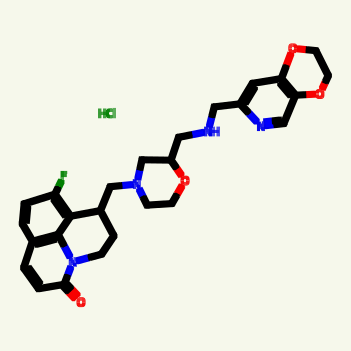 Cl.O=c1ccc2ccc(F)c3c2n1CCC3CN1CCOC(CNCc2cc3c(cn2)OCCO3)C1